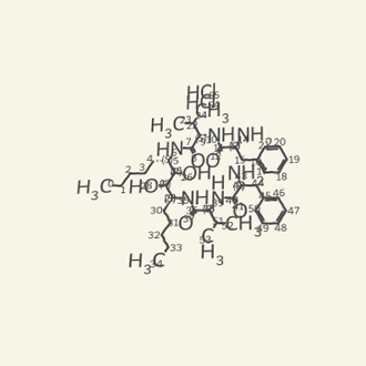 CCCCC[C@H](NC(=O)[C@@H](NC(=O)[C@@H](N)Cc1ccccc1)C(C)C)[C@@H](O)[C@H](O)[C@H](CCCCC)NC(=O)[C@@H](NC(=O)[C@@H](N)Cc1ccccc1)C(C)C.Cl.Cl